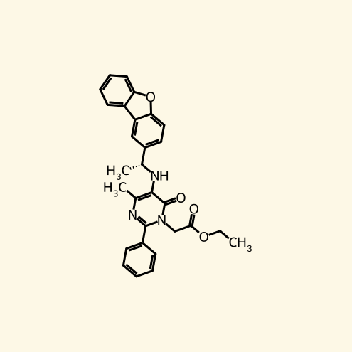 CCOC(=O)Cn1c(-c2ccccc2)nc(C)c(N[C@H](C)c2ccc3oc4ccccc4c3c2)c1=O